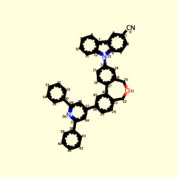 N#Cc1ccc2c(c1)c1ccccc1n2-c1ccc2c(c1)COCc1ccc(-c3cc(-c4ccccc4)nc(-c4ccccc4)c3)cc1-2